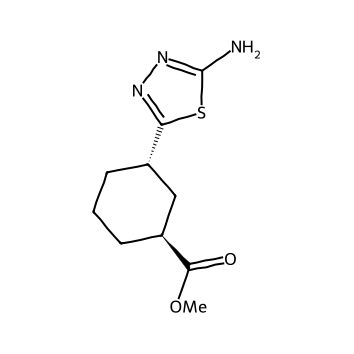 COC(=O)[C@H]1CCC[C@H](c2nnc(N)s2)C1